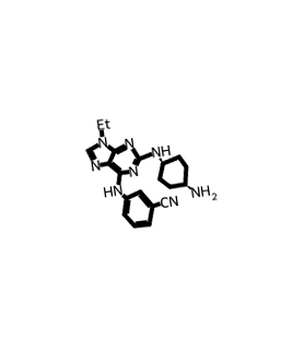 CCn1cnc2c(Nc3cccc(C#N)c3)nc(N[C@H]3CC[C@@H](N)CC3)nc21